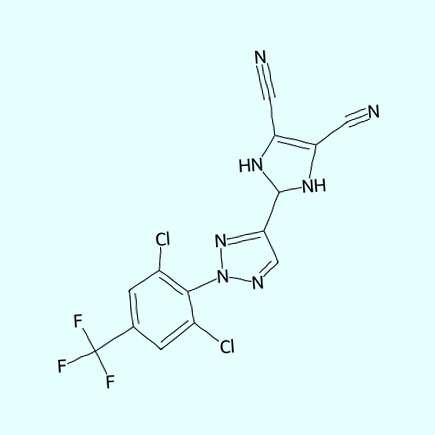 N#CC1=C(C#N)NC(c2cnn(-c3c(Cl)cc(C(F)(F)F)cc3Cl)n2)N1